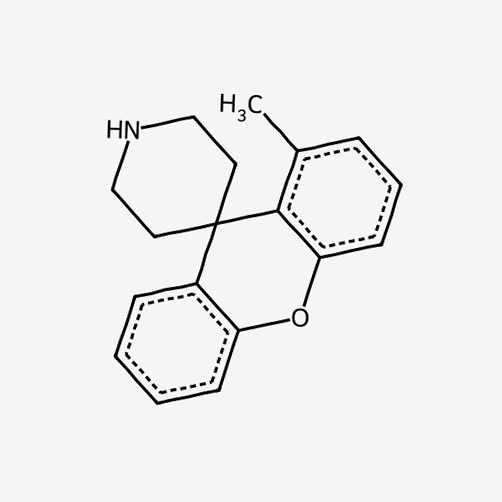 Cc1cccc2c1C1(CCNCC1)c1ccccc1O2